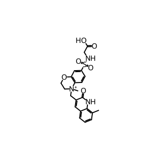 Cc1cccc2cc(C[N+]3(C)CCOc4cc(S(=O)(=O)NCC(=O)O)ccc43)c(=O)[nH]c12